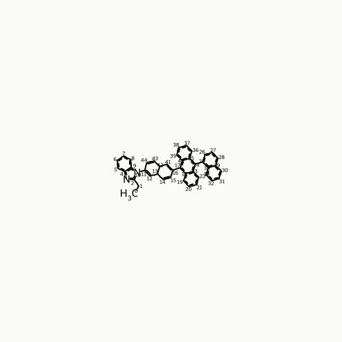 CCc1nc2ccccc2n1C1=CC2C=CC(c3c4ccccc4c(-c4cccc5ccccc45)c4ccccc34)=CC2C=C1